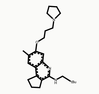 Cc1cc2c3c(c(NCC(C)(C)C)nc2cc1OCCCN1CCCC1)CCC3